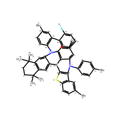 Cc1cc2c3c(c1)N(c1ccc(C(C)(C)C)cc1)c1c(sc4ccc(C(C)(C)C)cc14)B3c1cc3c(cc1N2c1ccc(C(C)(C)C)cc1-c1ccccc1F)C(C)(C)CCC3(C)C